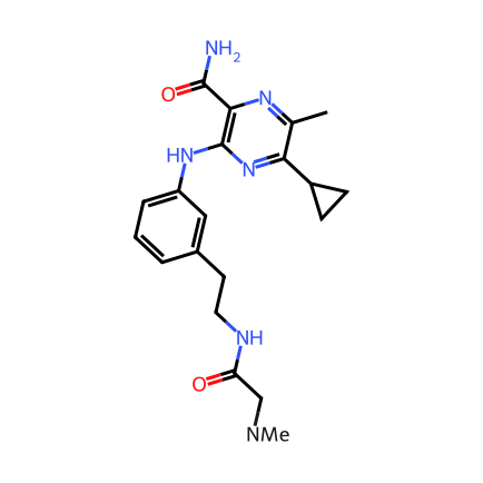 CNCC(=O)NCCc1cccc(Nc2nc(C3CC3)c(C)nc2C(N)=O)c1